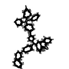 c1ccc([Si](c2ccccc2)(c2ccccc2)c2ccc(-c3ccc(N(c4ccc(-c5ccc6ccccc6c5)cc4)c4ccc5oc6ccccc6c5c4)cc3)cc2)cc1